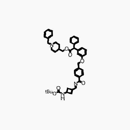 CC(C)(C)OC(=O)NC1CC(/C=N/C(=O)c2ccc(COc3cccc(C(C(=O)OCC4CCN(Cc5ccccc5)CC4)c4ccccc4)c3)cc2)C1